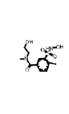 Cc1ccc(C(=O)N(C)CCO)cc1S(=O)(=O)NO